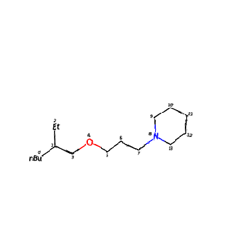 CCCCC(CC)COCCCN1CCCCC1